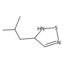 CC(C)CC1C=NSN1